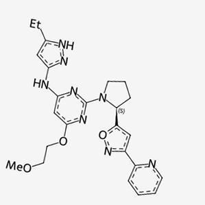 CCc1cc(Nc2cc(OCCOC)nc(N3CCC[C@H]3c3cc(-c4ccccn4)no3)n2)n[nH]1